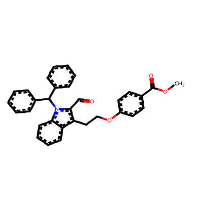 COC(=O)c1ccc(OCCc2c(C=O)n(C(c3ccccc3)c3ccccc3)c3ccccc23)cc1